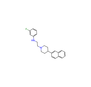 Fc1cccc(NCCN2CCC(c3ccc4ccccc4c3)CC2)c1